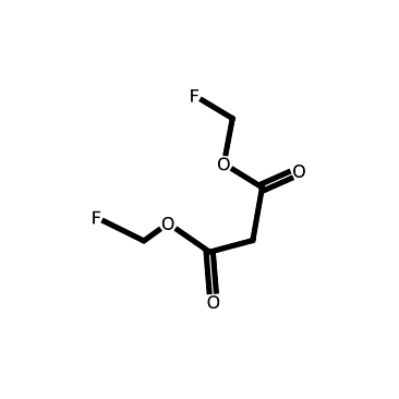 O=C(CC(=O)OCF)OCF